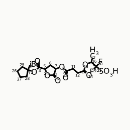 CCC(C)C1(OC(=O)C2CC(OC(=O)CCC(=O)OC(C)C(F)(F)S(=O)(=O)O)C(=O)O2)CCCC1